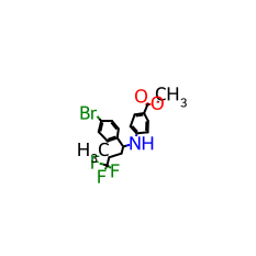 COC(=O)c1ccc(NC(CCC(F)(F)F)c2ccc(Br)cc2C)cc1